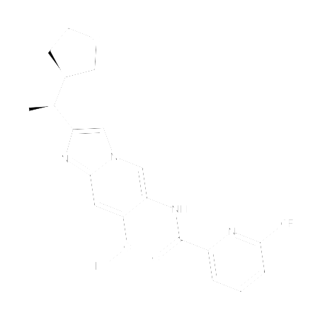 CCOc1cc2nc([C@@H](F)[C@H]3CCOC3)cn2cc1NC(=O)c1cccc(C(F)(F)F)n1